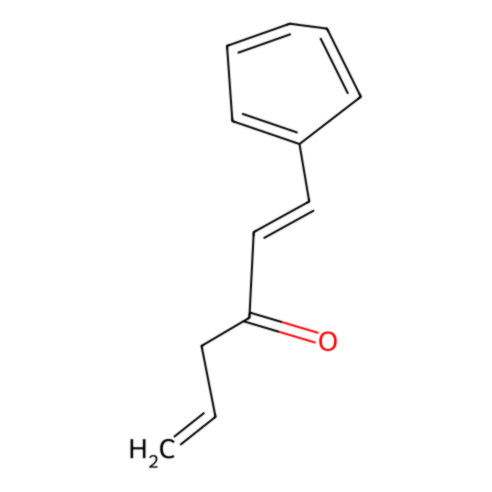 C=CCC(=O)/C=C/c1ccccc1